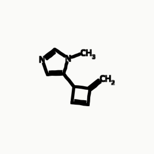 C=C1C=CC1c1cncn1C